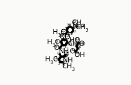 Cc1cc(C)c(CNC(=O)c2cc(C)c3c(c2C)O[C@@](C)([C@H]2CC[C@H](N(C)C)CC2)O3)c(=O)[nH]1.O=C(O)C=CC(=O)O